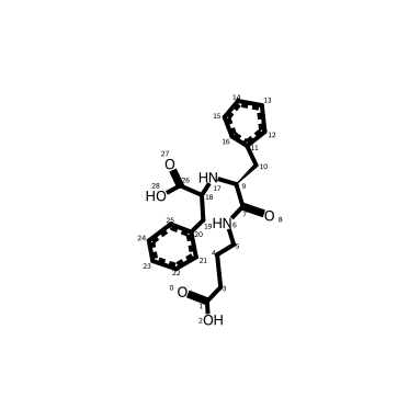 O=C(O)CCCNC(=O)[C@H](Cc1ccccc1)NC(Cc1ccccc1)C(=O)O